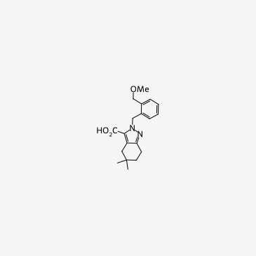 COCc1ccccc1Cn1nc2c(c1C(=O)O)CC(C)(C)CC2